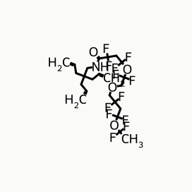 C=CCC(CC=C)(CC=C)CNC(=O)C(F)(F)CC(F)(F)OC(F)(F)COCC(F)(F)CC(F)(F)OC(C)(F)F